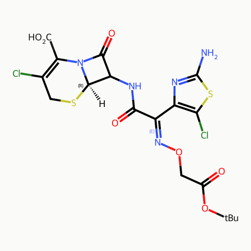 CC(C)(C)OC(=O)CO/N=C(/C(=O)NC1C(=O)N2C(C(=O)O)=C(Cl)CS[C@H]12)c1nc(N)sc1Cl